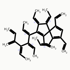 C=CC(=C)C(=C/C)/C(=C\C)C(=C/C)/C1=C(C=C)C2(C(C=C)=CC(C=C)=C2/C=C\C)C(=C/C)/C1=C\C